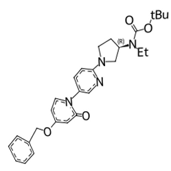 CCN(C(=O)OC(C)(C)C)[C@@H]1CCN(c2ccc(-n3ccc(OCc4ccccc4)cc3=O)cn2)C1